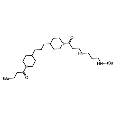 CC(C)(C)CCC(=O)N1CCC(CCCC2CCN(C(=O)CCNCCCNC(C)(C)C)CC2)CC1